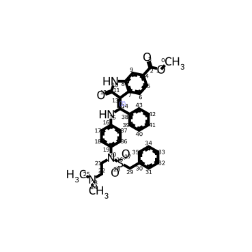 COC(=O)c1ccc2c(c1)NC(=O)/C2=C(\Nc1ccc(N(CCN(C)C)S(=O)(=O)Cc2ccccc2)cc1)c1ccccc1